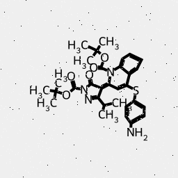 CC(C)C1=NN(C(=O)OC(C)(C)C)C(=O)C1=C1C=C(Sc2ccc(N)cc2)c2ccccc2N1C(=O)OC(C)(C)C